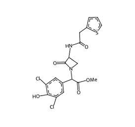 COC(=O)C(c1cc(Cl)c(O)c(Cl)c1)N1CC(NC(=O)Cc2cccs2)C1=O